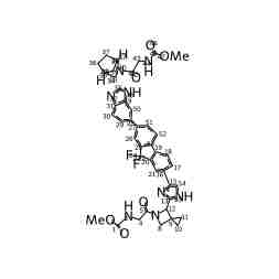 COC(=O)NCC(=O)N1CC2(CC2)C1c1nc(-c2ccc3c(c2)C(F)(F)c2cc(-c4ccc5nc([C@@H]6[C@H]7CC[C@H](C7)N6C(=O)CNC(=O)OC)[nH]c5c4)ccc2-3)c[nH]1